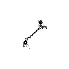 N#CN/C(=N\c1cccnc1)NCCCCCCCCCCCCOc1ccc([N+](=O)[O-])cc1